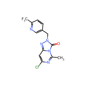 Cc1nc(Cl)cc2nn(Cc3ccc(C(F)(F)F)nc3)c(=O)n12